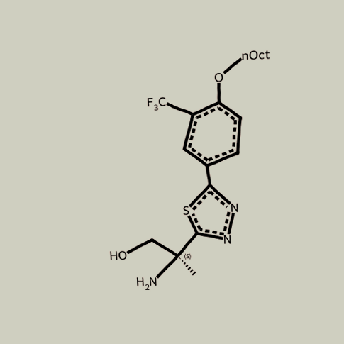 CCCCCCCCOc1ccc(-c2nnc([C@@](C)(N)CO)s2)cc1C(F)(F)F